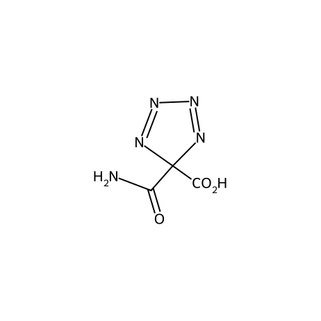 NC(=O)C1(C(=O)O)N=NN=N1